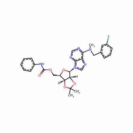 CN(Cc1cccc(F)c1)c1ncnc2c1ncn2[C@@H]1O[C@H](COC(=O)Nc2ccccc2)[C@H]2OC(C)(C)O[C@H]21